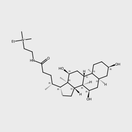 CC[N+](C)(C)CCNC(=O)CC[C@@H](C)[C@H]1CC[C@H]2[C@@H]3[C@H](O)C[C@@H]4C[C@H](O)CC[C@]4(C)[C@H]3C[C@H](O)[C@]12C